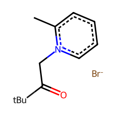 Cc1cccc[n+]1CC(=O)C(C)(C)C.[Br-]